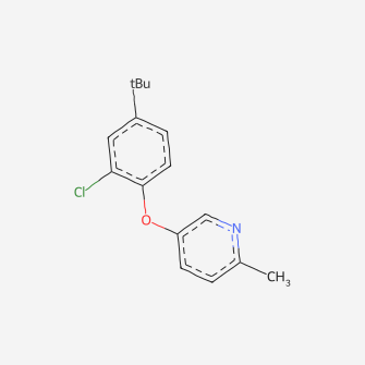 Cc1ccc(Oc2ccc(C(C)(C)C)cc2Cl)cn1